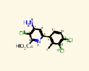 Cc1c(-c2cc(N)c(Cl)c(C(=O)O)n2)ccc(Cl)c1Cl